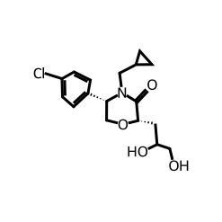 O=C1[C@H](CC(O)CO)OC[C@H](c2ccc(Cl)cc2)N1CC1CC1